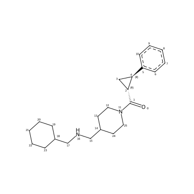 O=C([C@@H]1C[C@H]1c1ccccc1)N1CCC(CNCC2CCCCC2)CC1